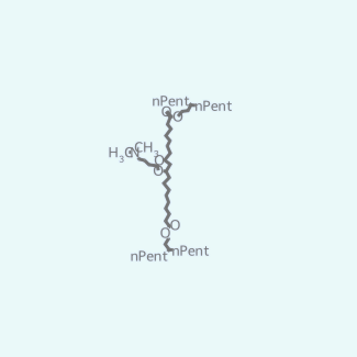 CCCCCC(CCCCC)CCOC(=O)CCCCCCCCC(CCCCCCCCC(=O)OCCC(CCCCC)CCCCC)OC(=O)CCCN(C)C